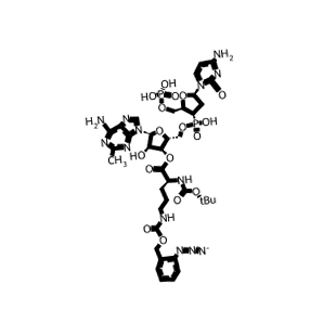 Cc1nc(N)c2ncn([C@@H]3O[C@H](COP(=O)(O)[C@H]4C[C@H](n5ccc(N)nc5=O)O[C@@H]4COP(=O)(O)O)[C@@H](OC(=O)[C@H](CCCNC(=O)OCc4ccccc4N=[N+]=[N-])NC(=O)OC(C)(C)C)[C@H]3O)c2n1